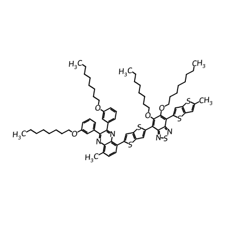 CCCCCCCCOc1cccc(-c2nc3c(C)ccc(-c4cc5sc(-c6c(OCCCCCCCC)c(OCCCCCCCC)c(-c7cc8sc(C)cc8s7)c7nsnc67)cc5s4)c3nc2-c2cccc(OCCCCCCCC)c2)c1